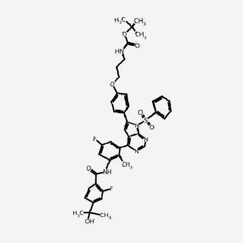 Cc1c(NC(=O)c2ccc(C(C)(C)O)cc2F)cc(F)cc1-c1ncnc2c1cc(-c1ccc(OCCCNC(=O)OC(C)(C)C)cc1)n2S(=O)(=O)c1ccccc1